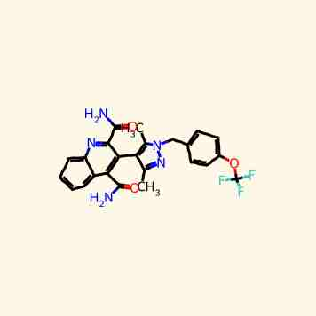 Cc1nn(Cc2ccc(OC(F)(F)F)cc2)c(C)c1-c1c(C(N)=O)nc2ccccc2c1C(N)=O